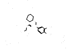 COc1ccc(SC[C@@H]2CCCC[C@H]2C(=O)NCC#N)cc1OC